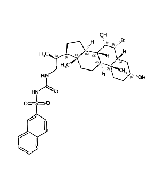 CC[C@H]1[C@@H](O)[C@@H]2[C@H](CC[C@]3(C)[C@@H]([C@H](C)CNC(=O)NS(=O)(=O)c4ccc5ccccc5c4)CC[C@@H]23)[C@@]2(C)CC[C@@H](O)C[C@@H]12